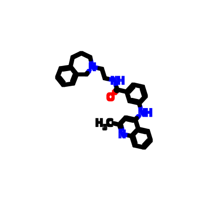 Cc1cc(Nc2cccc(C(=O)NCCN3CCCc4ccccc4C3)c2)c2ccccc2n1